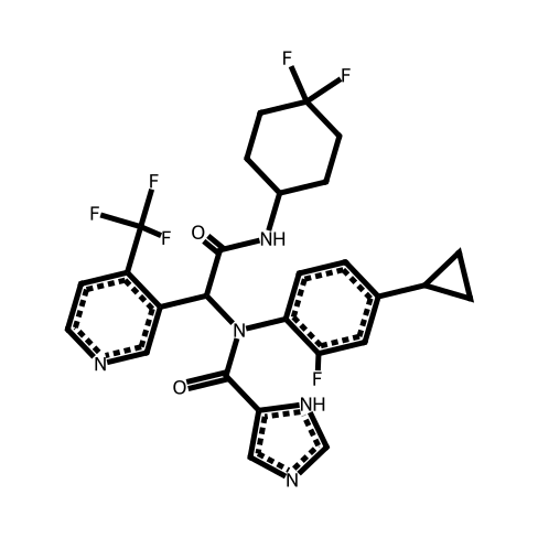 O=C(NC1CCC(F)(F)CC1)C(c1cnccc1C(F)(F)F)N(C(=O)c1cnc[nH]1)c1ccc(C2CC2)cc1F